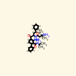 CC(C)NC(=O)c1c(-c2ccccc2)ccc(C(=O)C(CCc2ccccc2)NC(=O)CC(C)(C)N)c1N